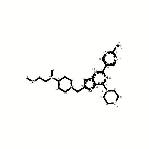 COCCN(C)C1CCN(Cc2cc3nc(-c4cnc(N)nc4)nc(N4CCOCC4)c3s2)CC1